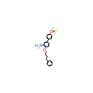 Nc1cc(-c2ccc(OC(F)(F)F)cc2)ccc1OCCCCc1ccccc1